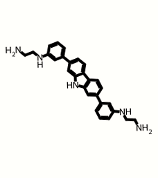 NCCNc1cccc(-c2ccc3c(c2)[nH]c2cc(-c4cccc(NCCN)c4)ccc23)c1